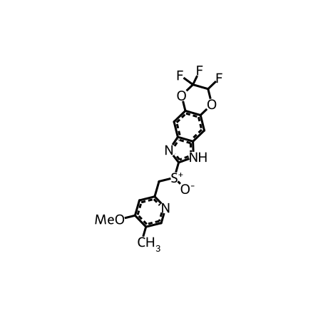 COc1cc(C[S+]([O-])c2nc3cc4c(cc3[nH]2)OC(F)C(F)(F)O4)ncc1C